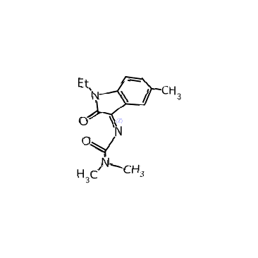 CCN1C(=O)/C(=N\C(=O)N(C)C)c2cc(C)ccc21